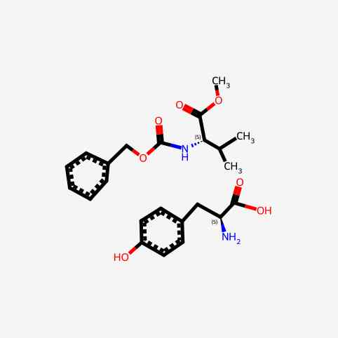 COC(=O)[C@@H](NC(=O)OCc1ccccc1)C(C)C.N[C@@H](Cc1ccc(O)cc1)C(=O)O